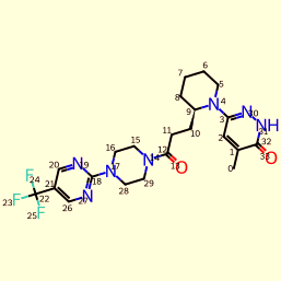 Cc1cc(N2CCCC[C@@H]2CCC(=O)N2CCN(c3ncc(C(F)(F)F)cn3)CC2)n[nH]c1=O